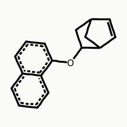 C1=CC2CC1CC2Oc1cccc2ccccc12